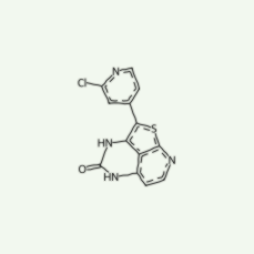 O=C1Nc2ccnc3sc(-c4ccnc(Cl)c4)c(c23)N1